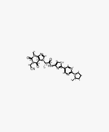 C[C@@H]1CCCN1c1ncc(-c2nc(NC(=O)[C@H](C)n3cnc4c3c(=O)n(CC#N)c(=O)n4C)cs2)cn1